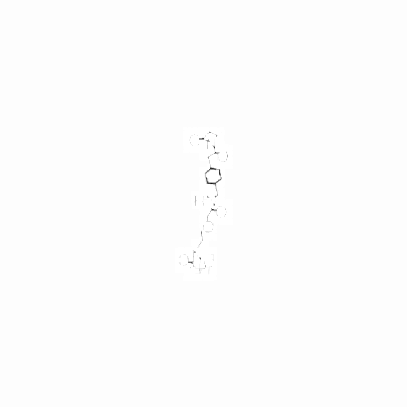 CCCC(=O)NCCCOCC(=O)NCc1ccc(CC(=O)N2CCC2=O)cc1